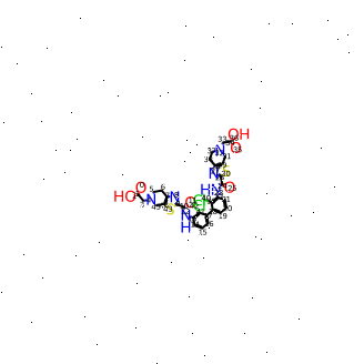 O=C(O)CN1CCc2nc(C(=O)Nc3cccc(-c4cccc(NC(=O)c5nc6c(s5)CN(CC(=O)O)CC6)c4Cl)c3Cl)sc2C1